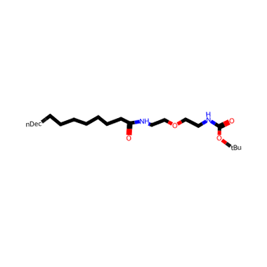 CCCCCCCCCCCCCCCCCC(=O)NCCOCCNC(=O)OC(C)(C)C